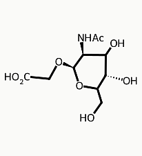 CC(=O)N[C@H]1C(O)[C@H](O)C(CO)O[C@H]1OCC(=O)O